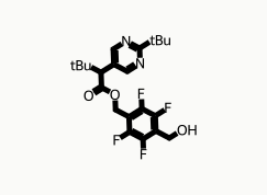 CC(C)(C)c1ncc(C(C(=O)OCc2c(F)c(F)c(CO)c(F)c2F)C(C)(C)C)cn1